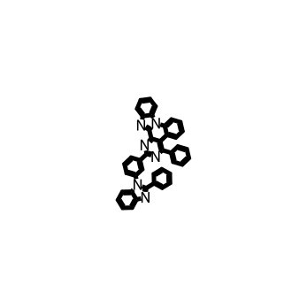 c1ccc(-c2nc(-c3cccc(-n4c(-c5ccccc5)nc5ccccc54)c3)nc3c2c2ccccc2n2c4ccccc4nc32)cc1